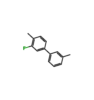 Cc1cccc(-c2ccc(C)c(F)c2)c1